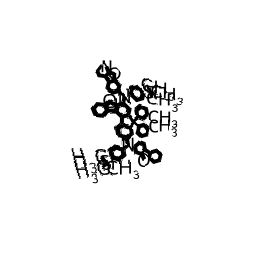 Cc1cccc(C2(c3cccc(C)c3)c3cc(N(c4ccc([Si](C)(C)C)cc4)c4ccc5c(c4)oc4ccccc45)ccc3-c3c2cc(N(c2ccc([Si](C)(C)C)cc2)c2ccc4c(c2)oc2ncccc24)c2oc4ccccc4c32)c1